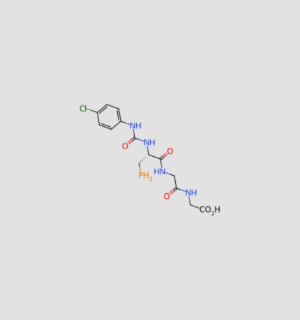 O=C(O)CNC(=O)CNC(=O)[C@H](CP)NC(=O)Nc1ccc(Cl)cc1